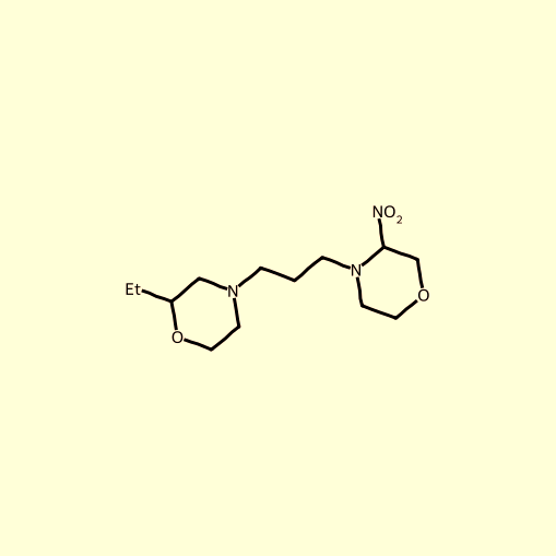 CCC1CN(CCCN2CCOCC2[N+](=O)[O-])CCO1